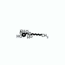 CCCCCCCCC(=O)ONC(=O)c1ccc(O)c(OC)c1